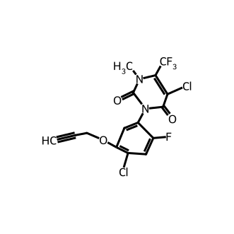 C#CCOc1cc(-n2c(=O)c(Cl)c(C(F)(F)F)n(C)c2=O)c(F)cc1Cl